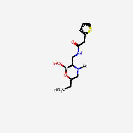 CC(=O)N1CC(CC(=O)O)OB(O)[C@H]1CNC(=O)Cc1cccs1